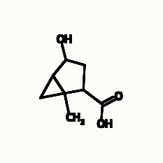 CC12CC1C(O)CC2C(=O)O